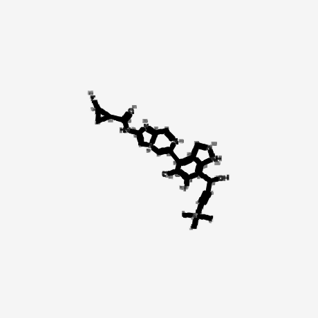 C[Si](C)(C)C#CC(O)c1c(F)c(Cl)c(-c2cn3cc(NC(=O)C4CC4F)nc3cn2)c2cn[nH]c12